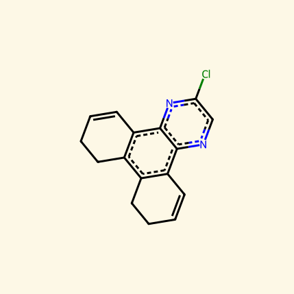 Clc1cnc2c3c(c4c(c2n1)C=CCC4)CCC=C3